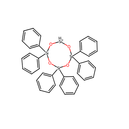 c1ccc([Si]2(c3ccccc3)O[SiH2]O[Si](c3ccccc3)(c3ccccc3)O[Si](c3ccccc3)(c3ccccc3)O2)cc1